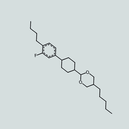 CCCCCC1COC(C2CCC(c3ccc(CCCC)c(F)c3)CC2)OC1